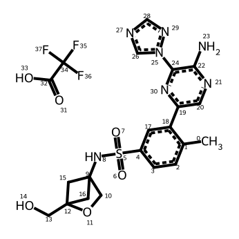 Cc1ccc(S(=O)(=O)NC23COC(CO)(C2)C3)cc1-c1cnc(N)c(-n2cncn2)n1.O=C(O)C(F)(F)F